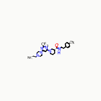 N#CCCN1CCN(c2cc(N3CCC[C@@H](C(=O)NCCc4ccc(C#N)cc4)C3)nc(C(F)(F)F)n2)CC1